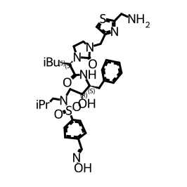 CC[C@H](C)[C@@H](C(=O)N[C@@H](Cc1ccccc1)[C@H](O)CN(CC(C)C)S(=O)(=O)c1ccc(C=NO)cc1)N1CCN(Cc2csc(CN)n2)C1=O